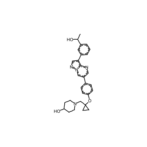 CC(O)c1cccc(-c2cnn3cc(-c4ccc(OC5(CN6CCC(O)CC6)CC5)cc4)cnc23)c1